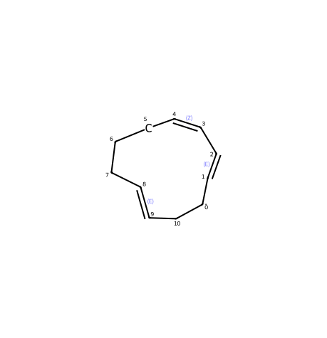 [CH]1/C=C/C=C\CCC/C=C/C1